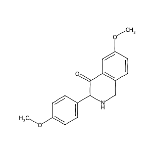 COc1ccc(C2NCc3ccc(OC)cc3C2=O)cc1